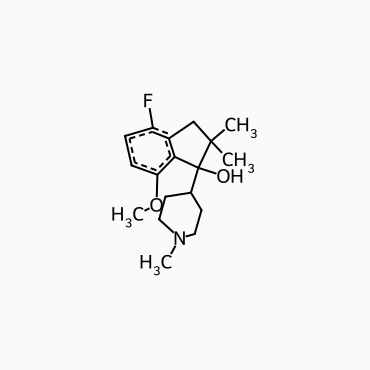 COc1ccc(F)c2c1C(O)(C1CCN(C)CC1)C(C)(C)C2